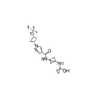 O=C(O)NC12CC(NC(=O)c3cnn([C@H]4C[C@@H](OC(F)(F)F)C4)c3)(C1)C2